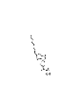 CCCCCCCOc1ccc2c(c1)OCC21CCN(C(CC)C(=O)O)CC1